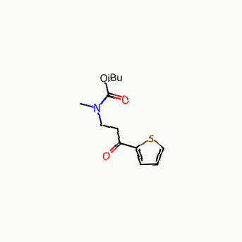 CC(C)COC(=O)N(C)CCC(=O)c1cccs1